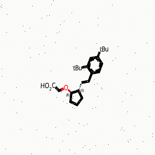 CC(C)(C)c1ccc(CC[C@@H]2CCC[C@H]2OCC(=O)O)c(C(C)(C)C)c1